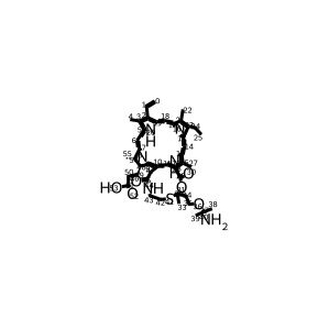 C=Cc1c(C)c2cc3nc(c4c5[nH]c(cc6nc(cc1[nH]2)C(C)=C6CC)c(C)c5C(=O)OC(C)(CCOC(C)(C)N)SCCNC(=O)C4)[C@@H](CCC(=O)O)[C@@H]3C